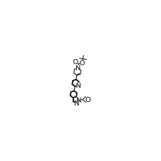 CC(C)(C)OC(=O)N1CC=C(c2ccc(-c3ccc4cnn(C5COC5)c4c3)nc2)CC1